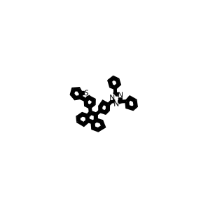 c1ccc(-c2nc(-c3ccccc3)nc(-c3ccc(-c4c(-c5ccc6sc7ccccc7c6c5)c5ccccc5c5ccccc45)cc3)n2)cc1